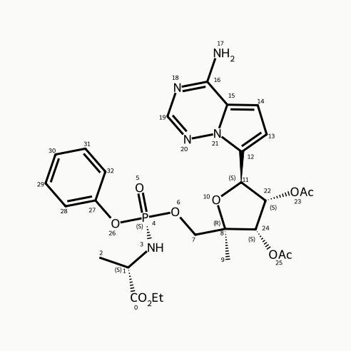 CCOC(=O)[C@H](C)N[P@](=O)(OC[C@@]1(C)O[C@@H](c2ccc3c(N)ncnn23)[C@H](OC(C)=O)[C@@H]1OC(C)=O)Oc1ccccc1